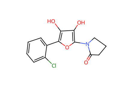 O=C1CCCN1c1oc(-c2ccccc2Cl)c(O)c1O